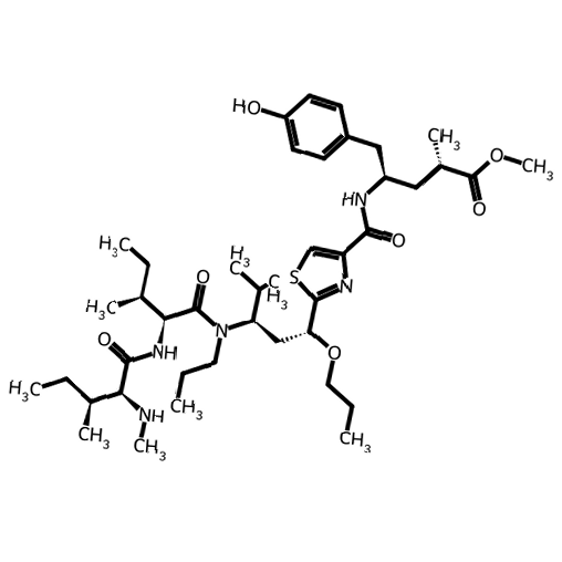 CCCO[C@H](C[C@H](C(C)C)N(CCC)C(=O)[C@@H](NC(=O)[C@@H](NC)[C@@H](C)CC)[C@@H](C)CC)c1nc(C(=O)N[C@@H](Cc2ccc(O)cc2)C[C@H](C)C(=O)OC)cs1